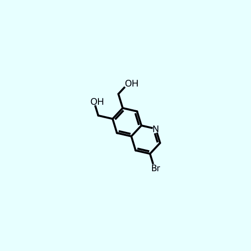 OCc1cc2cc(Br)cnc2cc1CO